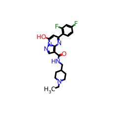 CCN1CCC(CNC(=O)c2cnn3c(O)cc(-c4ccc(F)cc4F)nc23)CC1